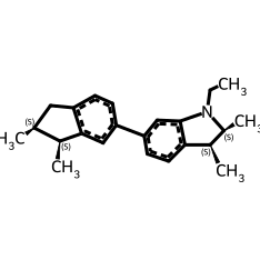 CCN1c2cc(-c3ccc4c(c3)[C@@H](C)[C@@H](C)C4)ccc2[C@H](C)[C@@H]1C